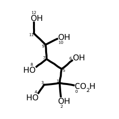 O=C(O)C(O)(CO)C(O)C(O)C(O)CO